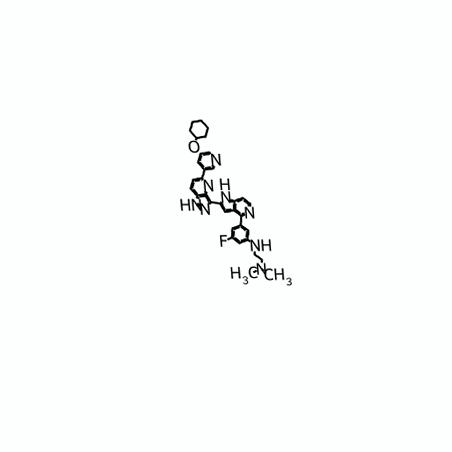 CN(C)CCNc1cc(F)cc(-c2nccc3[nH]c(-c4n[nH]c5ccc(-c6cncc(OC7CCCCC7)c6)nc45)cc23)c1